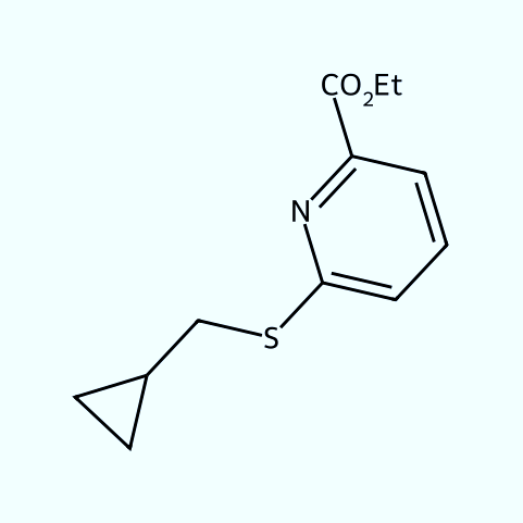 CCOC(=O)c1cccc(SCC2CC2)n1